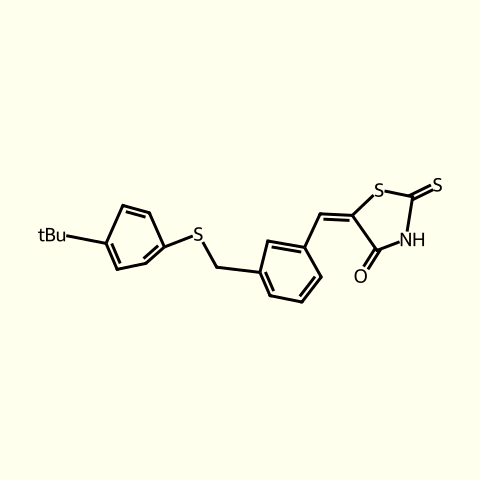 CC(C)(C)c1ccc(SCc2cccc(C=C3SC(=S)NC3=O)c2)cc1